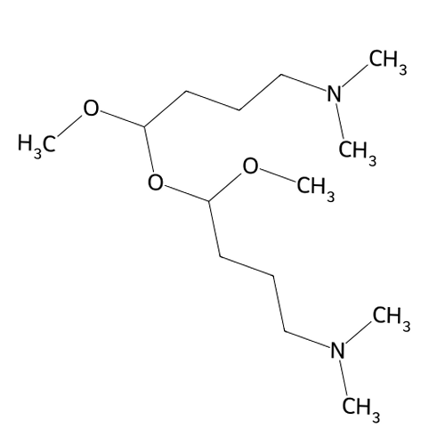 COC(CCCN(C)C)OC(CCCN(C)C)OC